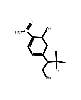 CCC(C)CC(C1=CC=C(S(=O)O)C(O)C1)C(C)(C)CC